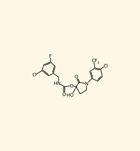 O=C(NCc1cc(F)cc(Cl)c1)OC1(O)CCN(c2ccc(Cl)c(C(F)(F)F)c2)C1=O